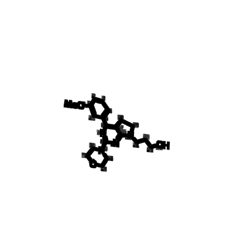 COc1cccc(-c2nc(N3CCOCC3)nc3c2CCN3CCCO)c1